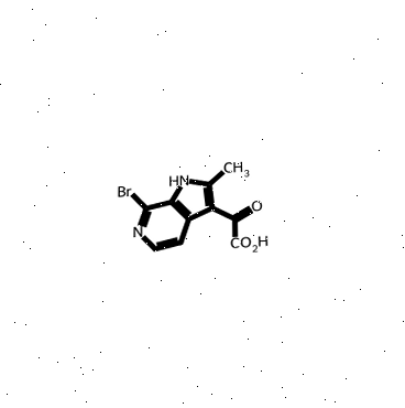 Cc1[nH]c2c(Br)nccc2c1C(=O)C(=O)O